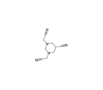 N#CCN1CC(C#N)CN(CC#N)C1